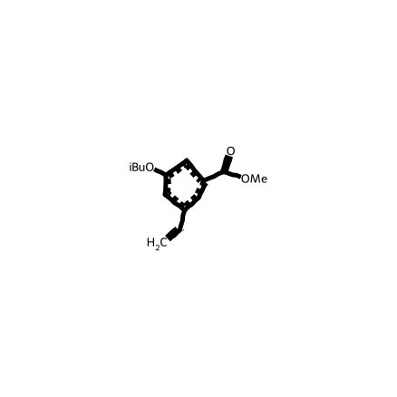 C=[C]c1cc(OCC(C)C)cc(C(=O)OC)c1